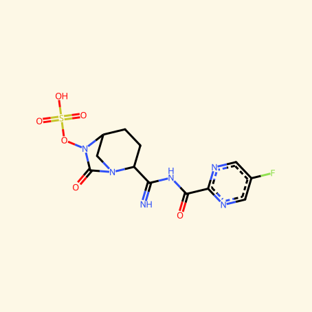 N=C(NC(=O)c1ncc(F)cn1)C1CCC2CN1C(=O)N2OS(=O)(=O)O